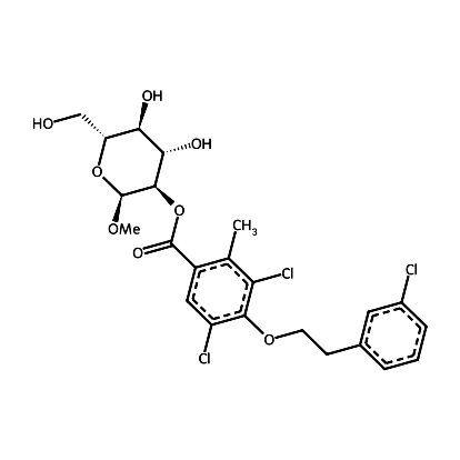 CO[C@H]1O[C@H](CO)[C@@H](O)[C@H](O)[C@H]1OC(=O)c1cc(Cl)c(OCCc2cccc(Cl)c2)c(Cl)c1C